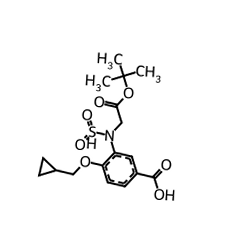 CC(C)(C)OC(=O)CN(c1cc(C(=O)O)ccc1OCC1CC1)[SH](=O)=O